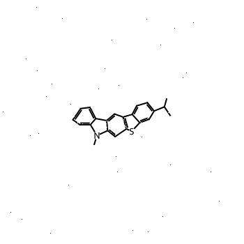 CC(C)c1ccc2c(c1)sc1cc3c(cc12)c1ccccc1n3C